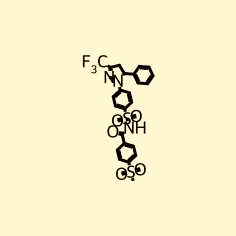 CS(=O)(=O)c1ccc(C(=O)NS(=O)(=O)c2ccc(N3N=C(C(F)(F)F)CC3c3ccccc3)cc2)cc1